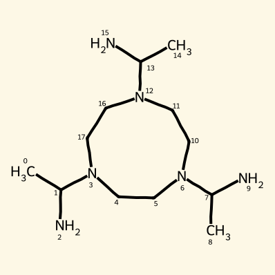 CC(N)N1CCN(C(C)N)CCN(C(C)N)CC1